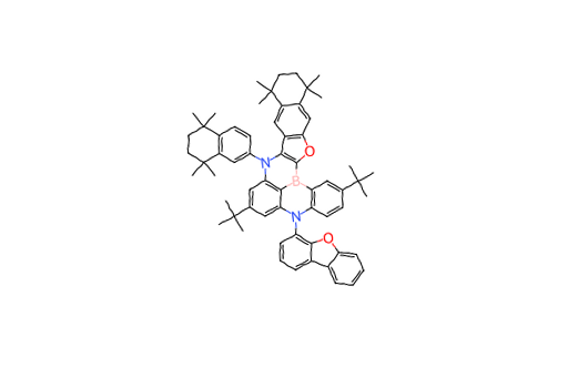 CC(C)(C)c1ccc2c(c1)B1c3oc4cc5c(cc4c3N(c3ccc4c(c3)C(C)(C)CCC4(C)C)c3cc(C(C)(C)C)cc(c31)N2c1cccc2c1oc1ccccc12)C(C)(C)CCC5(C)C